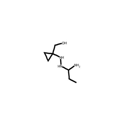 CCC(N)NNC1(CO)CC1